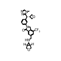 Cn1cnnc1[C@@H](c1cccc(N2Cc3c(cc(CN[C@@H]4[C@@H]5COC[C@@H]54)cc3C(F)(F)F)C2=O)c1)C1COC1